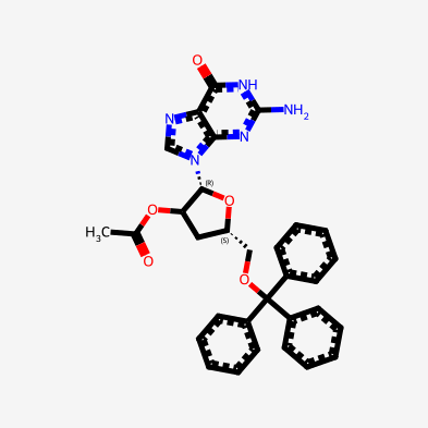 CC(=O)OC1C[C@@H](COC(c2ccccc2)(c2ccccc2)c2ccccc2)O[C@H]1n1cnc2c(=O)[nH]c(N)nc21